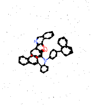 c1ccc(N(c2ccc(-c3cccc4ccccc34)cc2)c2cccc3c2oc2c4ccccc4cnc32)c(-c2ccc3ccccc3c2)c1